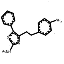 CC(=O)Nc1nc(CCc2ccc(N)cc2)c(-c2ccccc2)s1